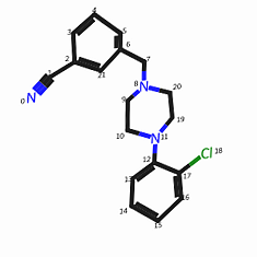 N#Cc1cccc(CN2CCN(c3ccccc3Cl)CC2)c1